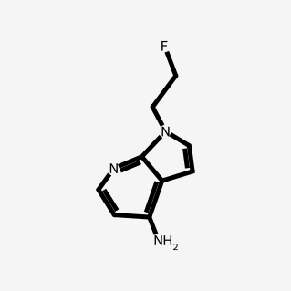 Nc1ccnc2c1ccn2CCF